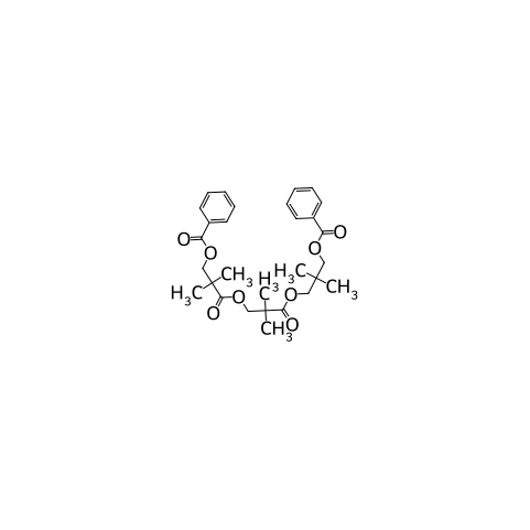 CC(C)(COC(=O)c1ccccc1)COC(=O)C(C)(C)COC(=O)C(C)(C)COC(=O)c1ccccc1